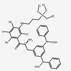 CCO[Si](CCCNc1c(Cl)c(C(=O)[C@@H](N)Cc2cc(N(C=O)c3ccccc3)cc(N(C=O)c3ccccc3)c2)c(C#N)c(Cl)c1C#N)(OCC)OCC